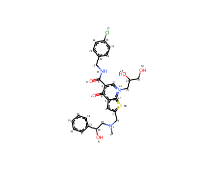 CN(Cc1cc2c(=O)c(C(=O)NCc3ccc(Cl)cc3)cn(CC(O)CO)c2s1)C[C@@H](O)c1ccccc1